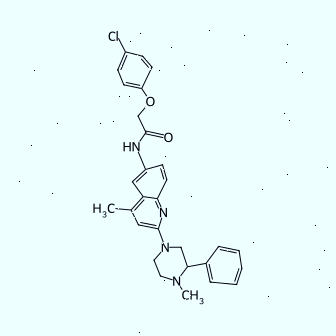 Cc1cc(N2CCN(C)C(c3ccccc3)C2)nc2ccc(NC(=O)COc3ccc(Cl)cc3)cc12